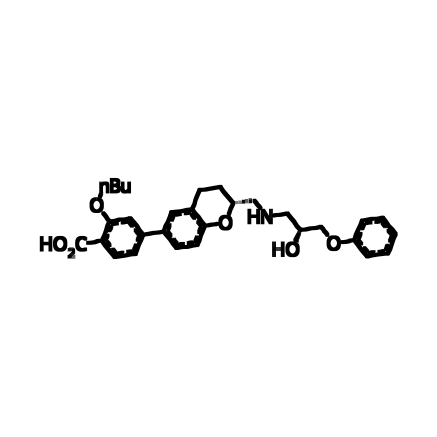 CCCCOc1cc(-c2ccc3c(c2)CC[C@H](CNC[C@H](O)COc2ccccc2)O3)ccc1C(=O)O